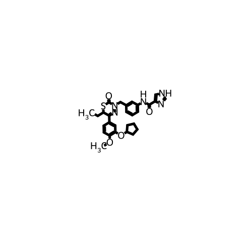 CCC1SC(=O)N(Cc2cccc(NC(=O)c3c[nH]cn3)c2)N=C1c1ccc(OC)c(OC2CCCC2)c1